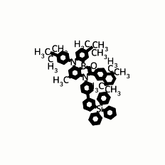 Cc1cc2c3c(c1)N(c1ccc(-c4cccc([Si](c5ccccc5)(c5ccccc5)c5ccccc5)c4)cc1)c1c(oc4cc5c(cc14)C(C)(C)CCC5(C)C)B3c1cc(C(C)(C)C)ccc1N2c1ccc(C(C)(C)C)cc1